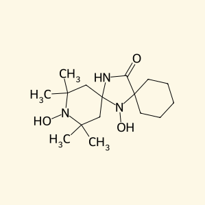 CC1(C)CC2(CC(C)(C)N1O)NC(=O)C1(CCCCC1)N2O